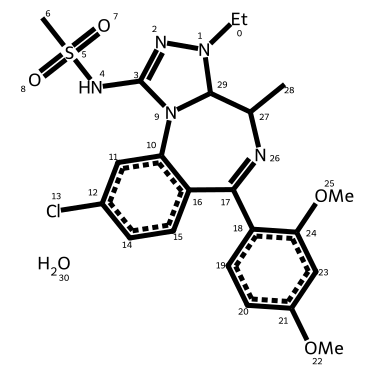 CCN1N=C(NS(C)(=O)=O)N2c3cc(Cl)ccc3C(c3ccc(OC)cc3OC)=NC(C)C12.O